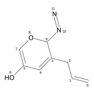 C=CCC1=CC(O)=COC1N=[N]